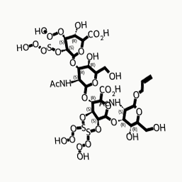 C=CCOC1OC(CO)[C@H](O)[C@H](OC2OC(C(=O)O)[C@@H](OC3OC(CO)[C@H](O)[C@H](OC4OC(C(=O)O)[C@@H](O)[C@H](OOO)[C@@H]4OSOOO)[C@@H]3NC(C)=O)[C@H](OSOOO)[C@@H]2OSOOO)[C@@H]1NC(C)=O